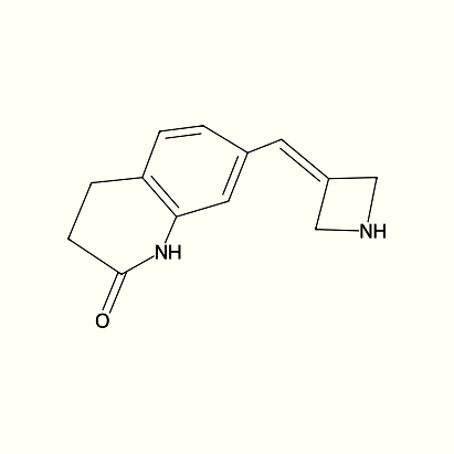 O=C1CCc2ccc(C=C3CNC3)cc2N1